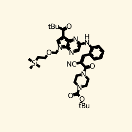 CC(C)(C)OC(=O)N1CCN(C(=O)C(C#N)=Cc2ccccc2Nc2cnc3c(n2)c(C(=O)C(C)(C)C)cn3COCC[Si](C)(C)C)CC1